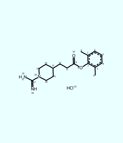 Cc1cccc(C)c1OC(=O)CCC1CCN(C(=N)N)CC1.Cl